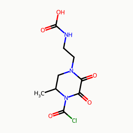 CC1CN(CCNC(=O)O)C(=O)C(=O)N1C(=O)Cl